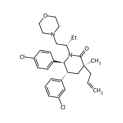 C=CC[C@@]1(C)C[C@H](c2cccc(Cl)c2)[C@@H](c2ccc(Cl)cc2)N([C@@H](CC)CN2CCOCC2)C1=O